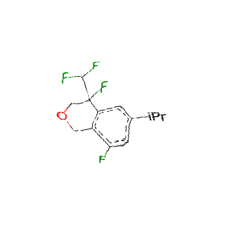 CC(C)c1cc(F)c2c(c1)C(F)(C(F)F)COC2